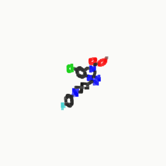 COC(=O)N1Cc2cc(Cl)ccc2-n2c(nnc2C2CC3(C2)CN(c2ccc(F)cc2)C3)C1